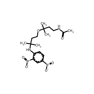 CC(=O)NCCC(C)(C)OCCC(C)(C)Nc1ccc([N+](=O)[O-])cc1[N+](=O)[O-]